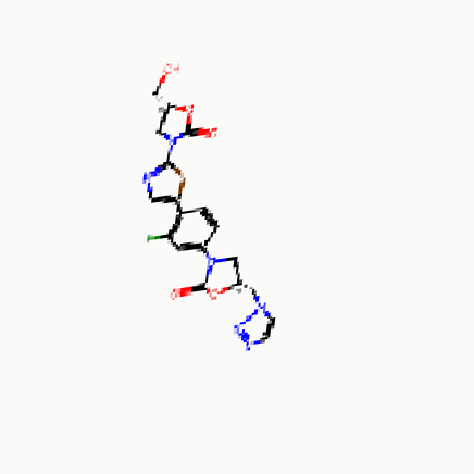 O=C1O[C@@H](Cn2ccnn2)CN1c1ccc(-c2cnc(N3C[C@H](CO)OC3=O)s2)c(F)c1